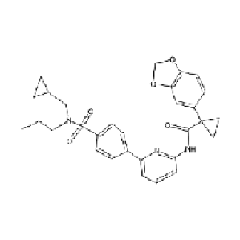 CCCN(CC1CC1)S(=O)(=O)c1ccc(-c2cccc(NC(=O)C3(c4ccc5c(c4)OCO5)CC3)n2)cc1